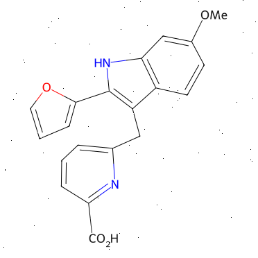 COc1ccc2c(Cc3cccc(C(=O)O)n3)c(-c3ccco3)[nH]c2c1